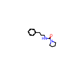 O=C(NCCCc1ccccc1)N1CCCC1